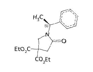 CCOC(=O)C1(C(=O)OCC)CC(=O)N([C@@H](C)c2ccccc2)C1